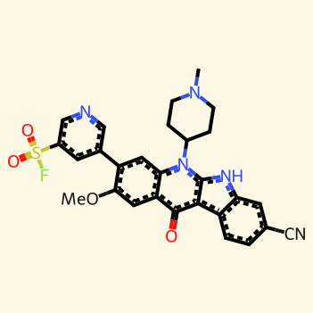 COc1cc2c(=O)c3c4ccc(C#N)cc4[nH]c3n(C3CCN(C)CC3)c2cc1-c1cncc(S(=O)(=O)F)c1